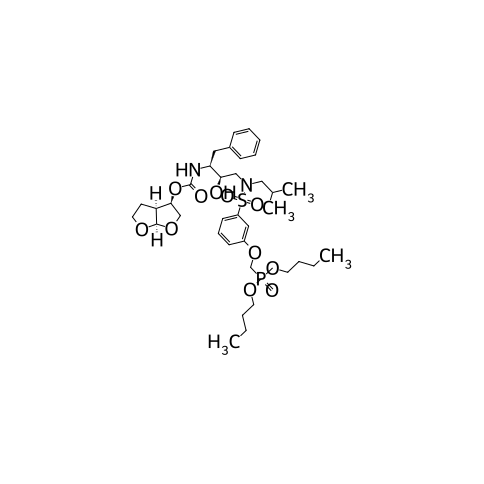 CCCCOP(=O)(COc1cccc(S(=O)(=O)N(CC(C)C)C[C@@H](O)[C@H](Cc2ccccc2)NC(=O)O[C@H]2CO[C@H]3OCC[C@H]32)c1)OCCCC